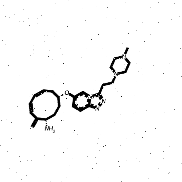 C=C1/C=C\C=C/C[C@H](Oc2ccc3nnc(CCN4CCN(C)CC4)n3c2)CC[C@@H]1N